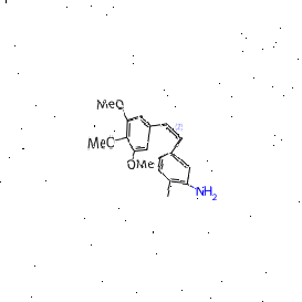 COc1cc(/C=C\c2ccc(C)c(N)c2)cc(OC)c1OC